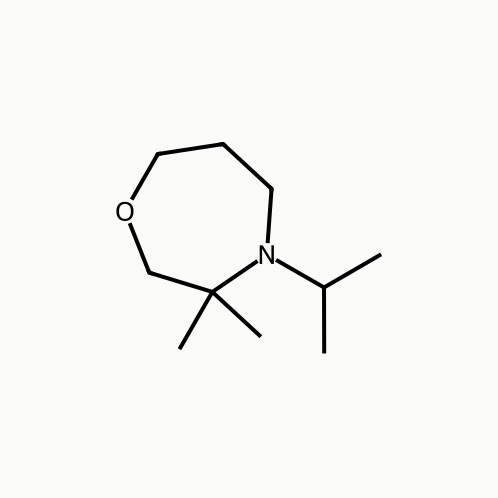 CC(C)N1CCCOCC1(C)C